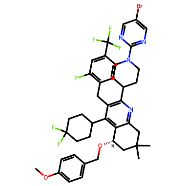 COc1ccc(CO[C@H]2CC(C)(C)Cc3nc(C4CCN(c5ncc(Br)cn5)CC4)c(Cc4ccc(C(F)(F)F)cc4F)c(C4CCC(F)(F)CC4)c32)cc1